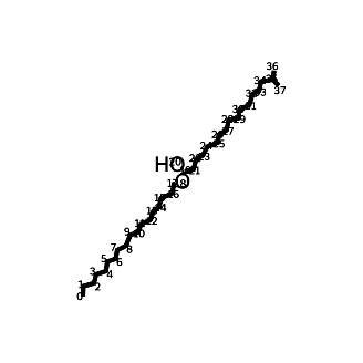 CCCCCCCCCCCCCCCCCCOC(O)CCCCCCCCCCCCCCC(C)C